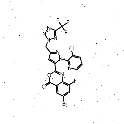 O=c1oc(-c2cc(Cn3nnc(C(F)(F)F)n3)nn2-c2ncccc2Cl)nc2c(F)cc(Br)cc12